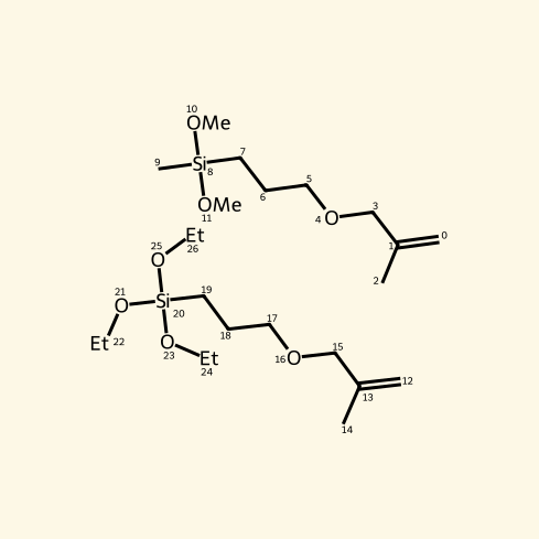 C=C(C)COCCC[Si](C)(OC)OC.C=C(C)COCCC[Si](OCC)(OCC)OCC